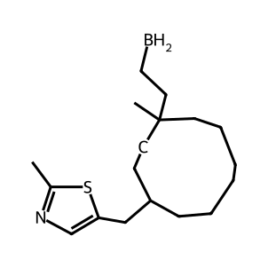 BCCC1(C)CCCCCCC(Cc2cnc(C)s2)CC1